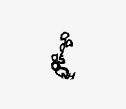 O=C(OCCSc1c(Cl)ccc2c1CCNCC2)C1CCCCC1